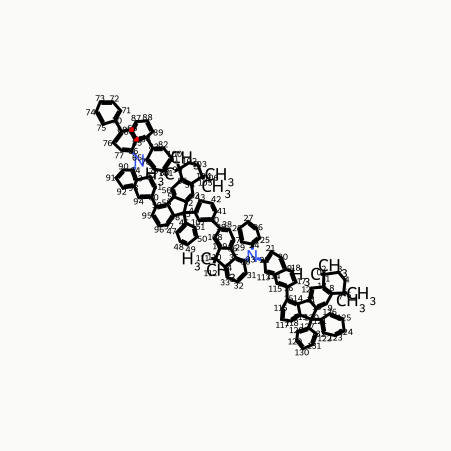 CC1(C)CCC(C)(C)c2cc3c(cc21)-c1c(-c2ccc4ccc(N(c5ccccc5)c5cccc6c5-c5ccc(-c7cccc(C8(c9ccccc9)c9cc%10c(cc9-c9c(-c%11ccc%12c(N(c%13ccc(-c%14ccccc%14)cc%13)c%13ccccc%13-c%13ccccc%13)cccc%12c%11)cccc98)C(C)(C)CCC%10(C)C)c7)cc5C6(C)C)cc4c2)cccc1C3(c1ccccc1)c1ccccc1